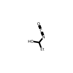 CCC(O)N=C=O